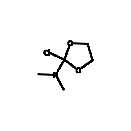 CN(C)C1(Cl)OCCO1